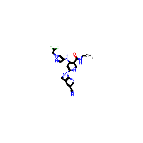 CCNC(=O)c1cnc(-n2ncc3cc(C#N)cnc32)cc1Nc1cnn(CC(F)F)c1